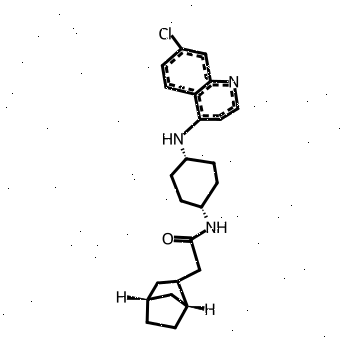 O=C(CC1C[C@H]2CC[C@@H]1C2)N[C@H]1CC[C@@H](Nc2ccnc3cc(Cl)ccc23)CC1